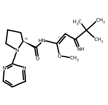 CO/C(=C\C(=N)C(C)(C)C)NC(=O)[C@@H]1CCCN1c1ncccn1